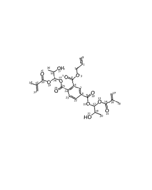 C=CCOC(=O)c1cc(C(=O)OC(OC(=O)C(=C)C)C(C)O)ccc1C(=O)OC(OC(=O)C(=C)C)C(C)O